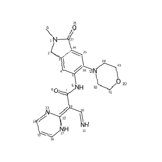 CN1Cc2cc(NC(=O)/C(C=N)=C3\N=CC=CN3)c(N3CCOCC3)cc2C1=O